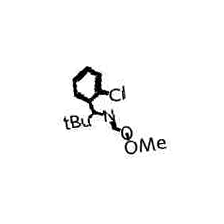 COO/C=N/[C@H](c1ccccc1Cl)C(C)(C)C